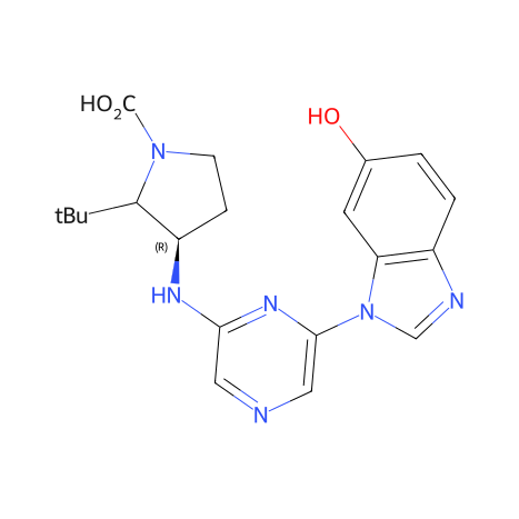 CC(C)(C)C1[C@H](Nc2cncc(-n3cnc4ccc(O)cc43)n2)CCN1C(=O)O